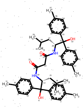 Cc1ccc(C(O)(c2ccc(C)cc2)[C@@H](CC(C)C)NC(=O)CC(=O)N[C@H](CC(C)C)C(O)(c2ccc(C)cc2)c2ccc(C)cc2)cc1